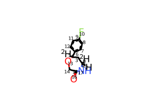 [2H]C1([2H])CC([2H])(c2ccc(F)cc2)OCC(=O)N1